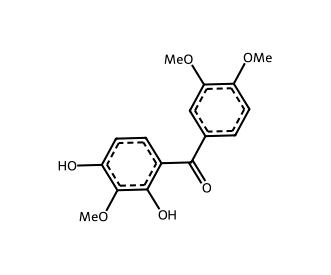 COc1ccc(C(=O)c2ccc(O)c(OC)c2O)cc1OC